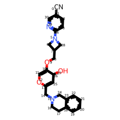 N#Cc1ccc(N2CC(COC3=COC(CN4CCc5ccccc5C4)=CC3O)C2)nc1